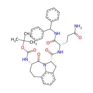 CC(C)(C)OC(=O)N[C@H]1CCc2cccc3c2N(C1=O)[C@H](C(=O)N[C@@H](CCC(N)=O)C(=O)NC(c1ccccc1)c1ccccc1)C3